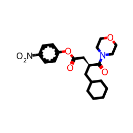 O=C(C[C@H](CC1CCCCC1)C(=O)N1CCOCC1)Oc1ccc([N+](=O)[O-])cc1